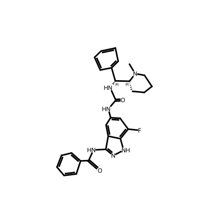 CN1CCCC[C@@H]1[C@H](NC(=O)Nc1cc(F)c2[nH]nc(NC(=O)c3ccccc3)c2c1)c1ccccc1